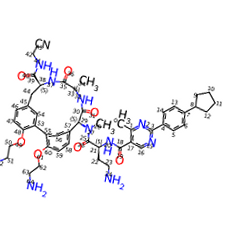 Cc1nc(-c2ccc(C3CCCC3)cc2)ncc1C(=O)N[C@@H](CCN)C(=O)N(C)[C@@H]1C(=O)N[C@@H](C)C(=O)N[C@H](C(=O)NCC#N)Cc2ccc(OCCN)c(c2)-c2cc1ccc2OCCN